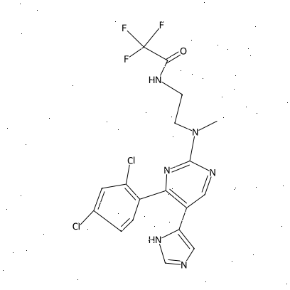 CN(CCNC(=O)C(F)(F)F)c1ncc(-c2cnc[nH]2)c(-c2ccc(Cl)cc2Cl)n1